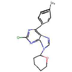 CSc1ccc(-c2nc(Cl)nc3c2ncn3C2CCCCO2)cc1